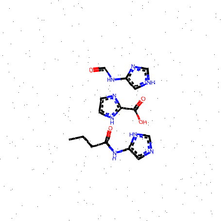 CCCC(=O)Nc1cnc[nH]1.O=C(O)c1ncc[nH]1.O=CNc1c[nH]cn1